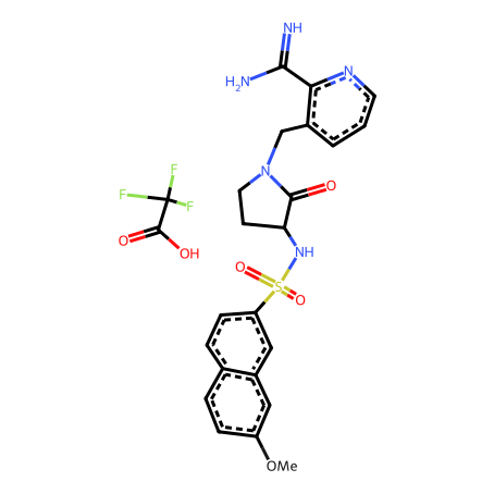 COc1ccc2ccc(S(=O)(=O)NC3CCN(Cc4cccnc4C(=N)N)C3=O)cc2c1.O=C(O)C(F)(F)F